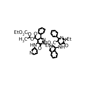 CCOC(=O)OC(C)OC(=O)c1c(-c2ccccc2)nn(CC)c(=O)c1Nc1cccnc1.CCOC(=O)c1c(-c2ccccc2)nn(CC)c(=O)c1Nc1cncc2ccccc12